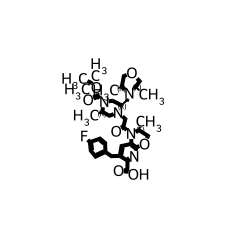 C[C@@H]1CN(CC(=O)N2c3cc(Cc4ccc(F)cc4)c(C(=O)O)nc3OC[C@@H]2C)[C@H](CN2[C@H](C)COC[C@H]2C)CN1C(=O)OC(C)(C)C